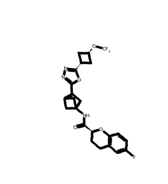 O=C(NC12CC(=C(c3nnc([C@H]4C[C@@H](OC(F)(F)F)C4)o3)C1)C2)[C@@H]1CCc2cc(F)ccc2O1